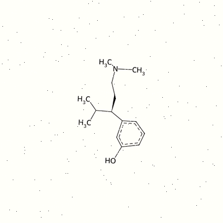 CC(C)[C@@H](CCN(C)C)c1cccc(O)c1